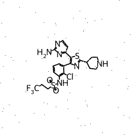 Nc1nccc(-c2sc(C3CCNCC3)nc2-c2cccc(NS(=O)(=O)CCC(F)(F)F)c2Cl)n1